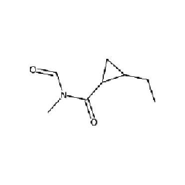 CCC1CC1C(=O)N(C)C=O